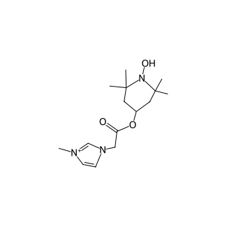 C[n+]1ccn(CC(=O)OC2CC(C)(C)N(O)C(C)(C)C2)c1